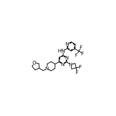 FC1(F)CN(c2nc(Nc3cc(C(F)(F)F)ccn3)cc(C3CCN(CC4CCOC4)CC3)n2)C1